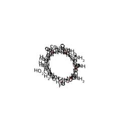 CCCC[C@H]1C(=O)N(C)[C@@H](CCCC)C(=O)N[C@@H](CCC(=O)O)C(=O)N[C@H](C(N)=O)CNCC(=O)N[C@@H](Cc2ccc(F)cc2)C(=O)N2CCCC[C@H]2C(=O)N[C@@H](CC(N)=O)C(=O)N2CCC[C@H]2C(=O)N[C@@H](Cc2c[nH]cn2)C(=O)N[C@@H](CCC(N)=O)C(=O)N2C[C@H](O)C[C@H]2C(=O)N[C@@H](Cc2c[nH]c3ccccc23)C(=O)N[C@@H](C)C(=O)N[C@@H](Cc2cn(CC(=O)O)c3ccccc23)C(=O)N1C